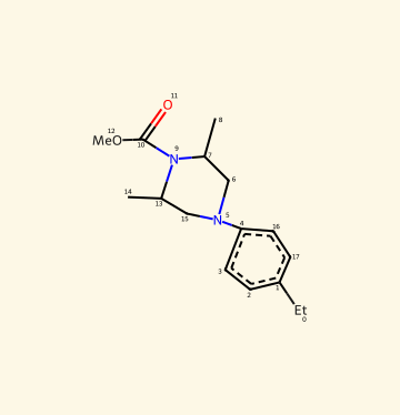 CCc1ccc(N2CC(C)N(C(=O)OC)C(C)C2)cc1